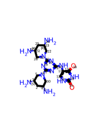 N[C@@H]1C[C@H](N)CN(c2nc(Nc3c[nH]c(=O)[nH]c3=O)nc(N3C[C@H](N)C[C@H](N)C3)n2)C1